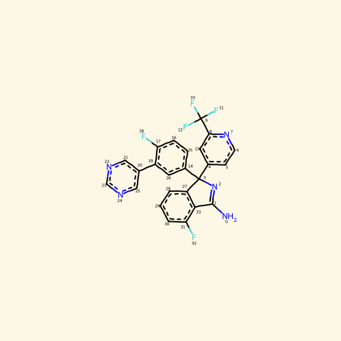 NC1=NC(c2ccnc(C(F)(F)F)c2)(c2ccc(F)c(-c3cncnc3)c2)c2cccc(F)c21